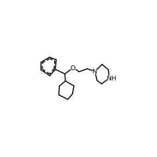 c1ccc(C(OCCN2CCNCC2)C2CCCCC2)cc1